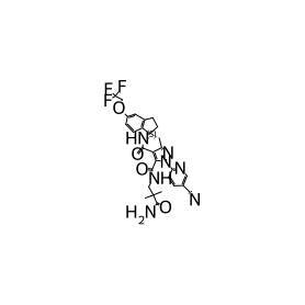 CC(C)(CNC(=O)c1c2c(nn1-c1ccc(C#N)cn1)C[C@]1(CCc3cc(OCC(F)(F)F)ccc31)NC2=O)C(N)=O